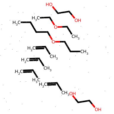 C=CC.C=CC.C=CC.C=CC.CCCCOCCC.CCOCC.OCCO.OCCO